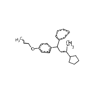 C=CCOc1ccc(C(C=C(C)C2CCCC2)c2ccccc2)cc1